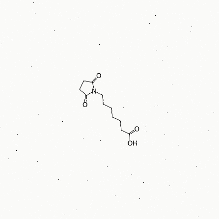 O=C(O)CCCCCCN1C(=O)CCC1=O